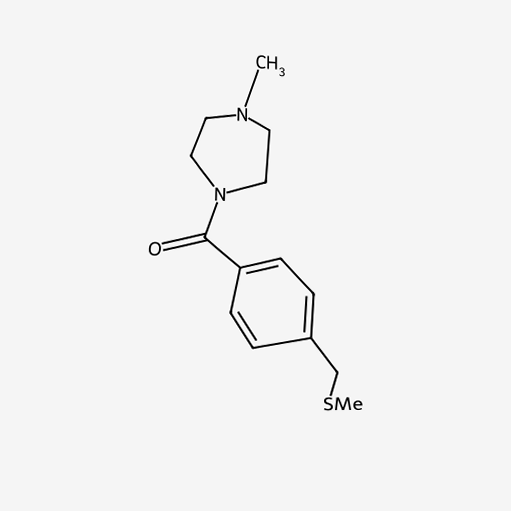 CSCc1ccc(C(=O)N2CCN(C)CC2)cc1